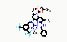 CC[C@@H]1C[C@@H](N(Cc2cc(C(F)(F)F)cc(C(F)(F)F)c2)c2nnn(C)n2)c2nc(NCc3ccccc3)c(C)cc2N1C(=O)OC(C)C